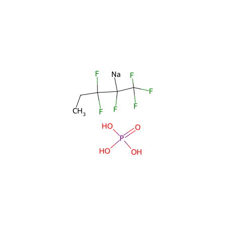 CCC(F)(F)[C](F)([Na])C(F)(F)F.O=P(O)(O)O